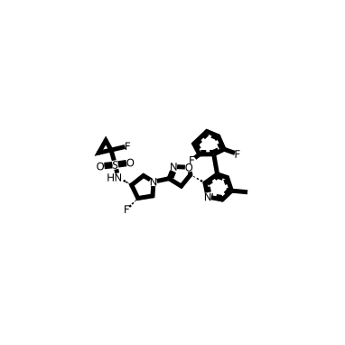 Cc1cnc([C@@H]2CC(N3C[C@H](F)[C@H](NS(=O)(=O)C4(F)CC4)C3)=NO2)c(-c2c(F)cccc2F)c1